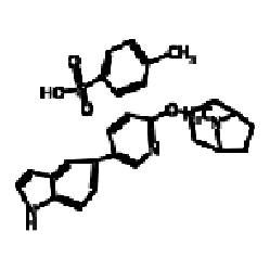 CN1C2CCC1CC(Oc1ccc(-c3ccc4[nH]ccc4c3)cn1)C2.Cc1ccc(S(=O)(=O)O)cc1